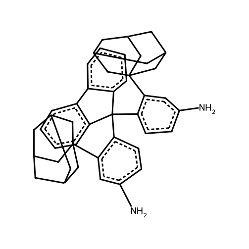 Nc1ccc(C2(c3ccc(N)cc3C34CC5CC(CC(C5)C3)C4)c3ccccc3-c3ccccc32)c(C23CC4CC(CC(C4)C2)C3)c1